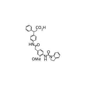 COc1cc(CC(=O)Nc2ccc(C(CC(=O)O)c3ccccc3)cc2)ccc1NC(=O)N1CCc2ccccc21